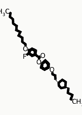 CCCCCCCCCCCCOc1ccc(C(=O)Oc2ccc(OCCC[C@H]3CC[C@H](CCCCC)CC3)cc2)cc1F